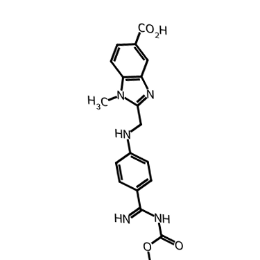 CCCCCCOC(=O)NC(=N)c1ccc(NCc2nc3cc(C(=O)O)ccc3n2C)cc1